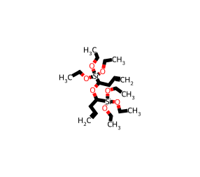 C=CCC(OC(CC=C)[Si](OCC)(OCC)OCC)[Si](OCC)(OCC)OCC